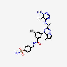 Cc1ccn2nc([C@H](C)Nc3ncnc(N)c3C#N)nc(-c3cc(C#N)cc(C(=O)NCc4ccc(S(N)(=O)=O)cc4)c3)c12